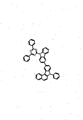 c1ccc(-c2nc(-c3ccccc3)nc(-n3c4ccccc4c4cc(-c5ccc6c(c5)c5c7ccccc7ccc5n6-c5ccccc5)ccc43)n2)cc1